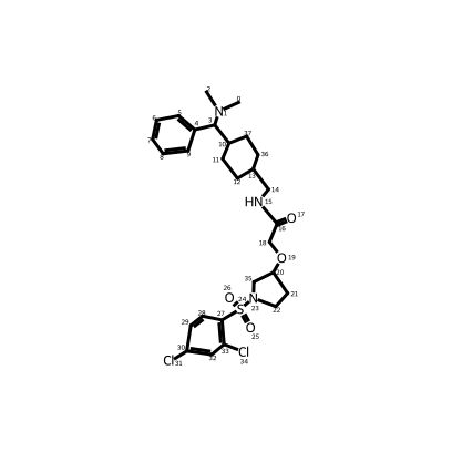 CN(C)C(c1ccccc1)C1CCC(CNC(=O)COC2CCN(S(=O)(=O)c3ccc(Cl)cc3Cl)C2)CC1